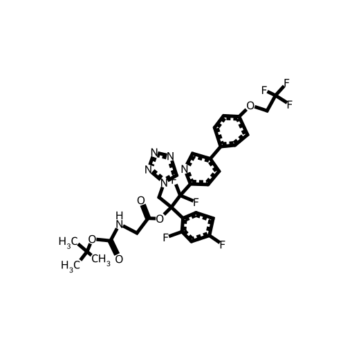 CC(C)(C)OC(=O)NCC(=O)OC(Cn1cnnn1)(c1ccc(F)cc1F)C(F)(F)c1ccc(-c2ccc(OCC(F)(F)F)cc2)cn1